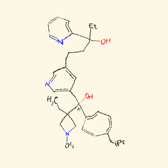 CCC(O)(CCc1cncc([C@@](O)(c2ccc(C(C)C)cc2)C2(C)CN(C)C2)c1)c1ccccn1